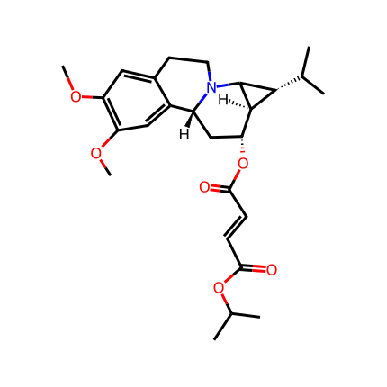 COc1cc2c(cc1OC)[C@H]1C[C@@H](OC(=O)/C=C/C(=O)OC(C)C)[C@H]3C([C@@H]3C(C)C)N1CC2